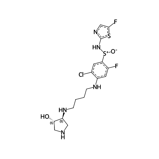 [O-][S+](Nc1ncc(F)s1)c1cc(Cl)c(NCCCCN[C@H]2CNC[C@@H]2O)cc1F